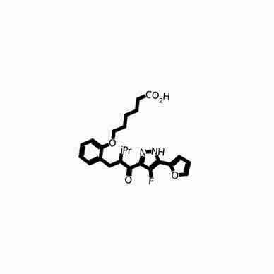 CC(C)C(Cc1ccccc1OCCCCCC(=O)O)C(=O)c1n[nH]c(-c2ccco2)c1F